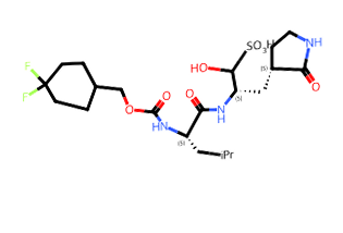 CC(C)C[C@H](NC(=O)OCC1CCC(F)(F)CC1)C(=O)N[C@@H](C[C@@H]1CCNC1=O)C(O)S(=O)(=O)O